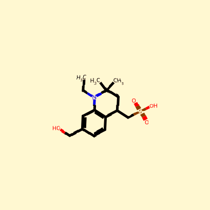 CCN1c2cc(CO)ccc2C(CS(=O)(=O)O)CC1(C)C